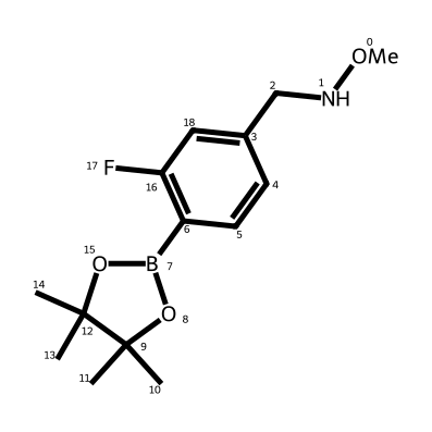 CONCc1ccc(B2OC(C)(C)C(C)(C)O2)c(F)c1